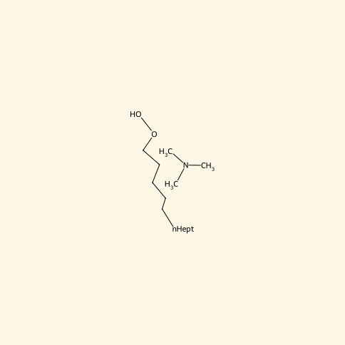 CCCCCCCCCCCCOO.CN(C)C